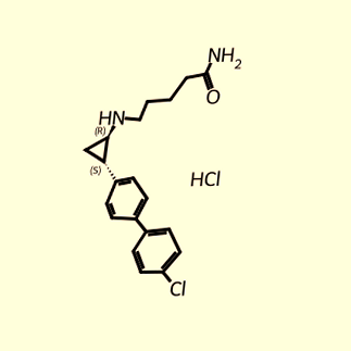 Cl.NC(=O)CCCCN[C@@H]1C[C@H]1c1ccc(-c2ccc(Cl)cc2)cc1